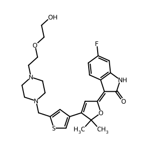 CC1(C)OC(=C2C(=O)Nc3cc(F)ccc32)C=C1c1csc(CN2CCN(CCOCCO)CC2)c1